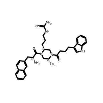 C[C@@H]1CN(C(=O)[C@H](N)Cc2ccc3ccccc3c2)[C@@H](CCCNC(=N)N)CN1C(=O)CCCc1c[nH]c2ccccc12